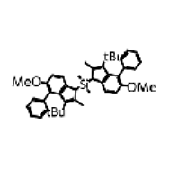 COc1ccc2c(c1-c1ccccc1)C(C(C)(C)C)=C(C)C2[Si](C)(C)C1C(C)=C(C(C)(C)C)c2c1ccc(OC)c2-c1ccccc1